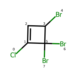 ClC1=CC(Br)C1(Br)Br